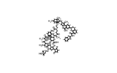 CNC(=O)CCN(CCOC12CC3(C)CC(C)(CC(Cn4ncc(-c5ccc(N6CCc7cccc(C(=O)Nc8nc9ccccc9s8)c7C6)nc5C(=O)O)c4C)(C3)C1)C2)C(=O)OCc1ccc(NC(=O)[C@H](C)NC(=O)[C@@H](NC(=O)CN2C(=O)[C@@H](N3C(=O)C=CC3=O)C[C@H]2COCCS(=O)(=O)O)C(C)C)cc1CC[C@@H]1O[C@H](C(=O)O)[C@@H](O)[C@H](O)[C@H]1O